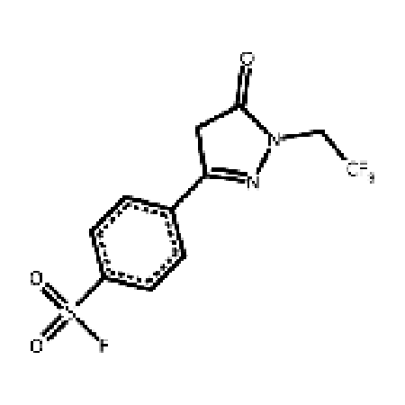 O=C1CC(c2ccc(S(=O)(=O)F)cc2)=NN1CC(F)(F)F